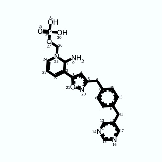 NC1C(c2cc(Cc3ccc(Cc4cncnc4)cc3)no2)=CC=CN1COP(=O)(O)O